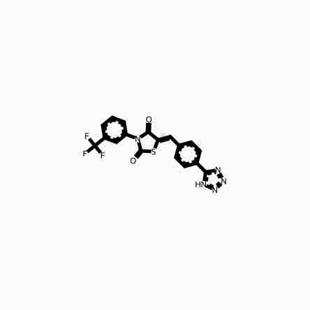 O=C1S/C(=C\c2ccc(-c3nnn[nH]3)cc2)C(=O)N1c1cccc(C(F)(F)F)c1